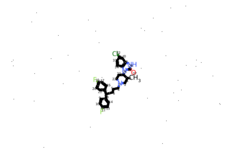 CC1CN(CCCC(c2ccc(F)cc2)c2ccc(F)cc2)CCC1n1c(=O)[nH]c2cc(Cl)ccc21